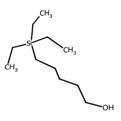 CC[Si](CC)(CC)CCCCCO